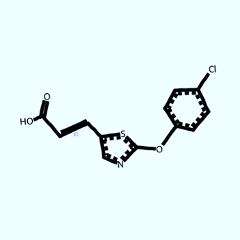 O=C(O)/C=C/c1cnc(Oc2ccc(Cl)cc2)s1